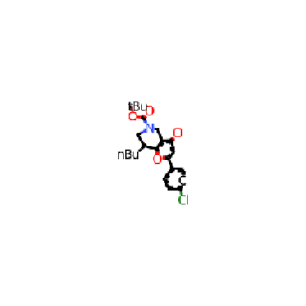 CCCCC1CN(C(=O)OC(C)(C)C)Cc2c1oc(-c1ccc(Cl)cc1)cc2=O